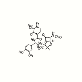 CCN1CCN(C(=O)NC(C(=O)N[C@@]2(C(=O)[O-])N3C(=O)[C@@H](NC=O)[C@H]3SC2(C)C)c2ccc(O)c(O)c2)C(=O)C1=O.[Na+]